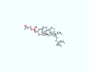 CC(C)CCC[C@@H](C)[C@H]1CCC2C3CC=C4CC(OC(=O)OCC5CO5)CC[C@]4(C)C3CC[C@@]21C